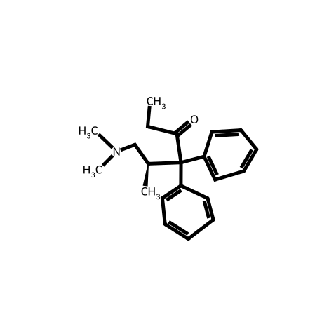 CCC(=O)C(c1ccccc1)(c1ccccc1)[C@@H](C)CN(C)C